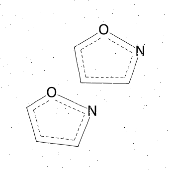 c1cnoc1.c1cnoc1